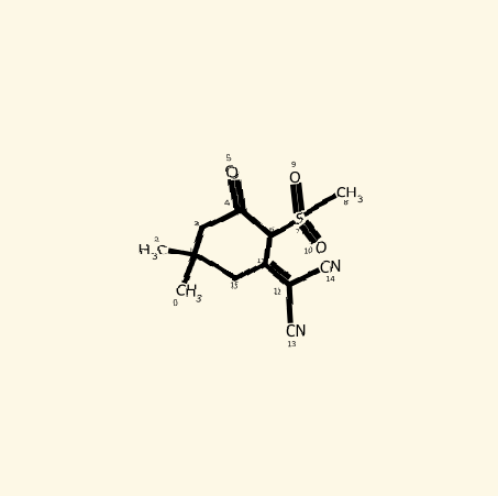 CC1(C)CC(=O)C(S(C)(=O)=O)C(=C(C#N)C#N)C1